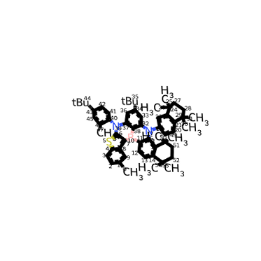 Cc1ccc2sc3c(c2c1)B1c2ccc4c(c2N(c2ccc5c(c2)C(C)(C)CCC5(C)C)c2cc(C(C)(C)C)cc(c21)N3c1ccc(C(C)(C)C)cc1C)C(C)(C)CCC4(C)C